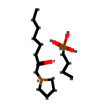 CCCCCCC(=O)C[S+]1CCCC1.CCCCS(=O)(=O)[O-]